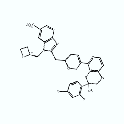 CC1(c2ccc(Cl)cc2F)COc2cccc(C3=CCC(Cc4nc5ccc(C(=O)O)cc5n4C[C@@H]4CCO4)OC3)c2O1